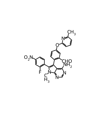 Cc1cccc(Oc2ccc(-c3c(-c4ccc([N+](=O)[O-])cc4F)n(C)c4ncnc(N)c34)c(C=O)c2)n1